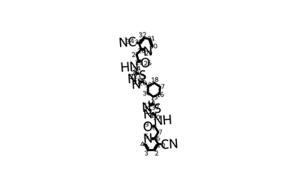 N#Cc1cccnc1CC(=O)Nc1nnc([C@H]2CCC[C@H](c3nnc(NC(=O)Cc4ncccc4C#N)s3)C2)s1